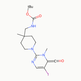 CN1C(=C=O)C(I)=CN=C1N1CCC(C)(CNC(=O)OC(C)(C)C)CC1